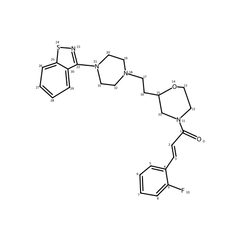 O=C(/C=C/c1ccccc1F)N1CCOC(CCN2CCN(c3nsc4ccccc34)CC2)C1